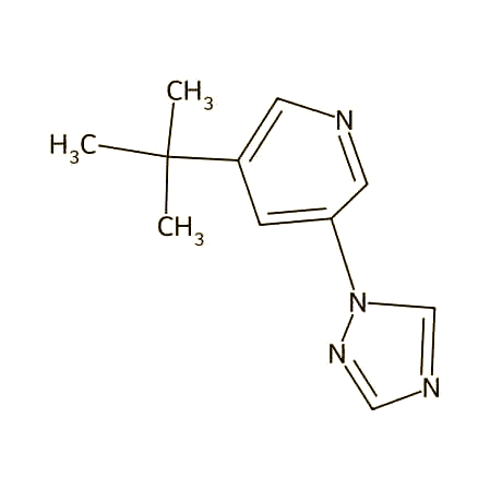 CC(C)(C)c1cncc(-n2cncn2)c1